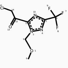 COCn1nc(C(F)(F)F)nc1C(=O)CCl